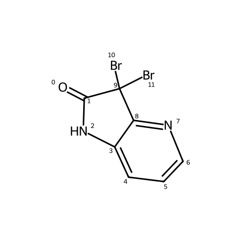 O=C1Nc2cccnc2C1(Br)Br